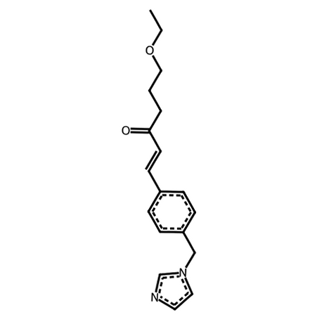 CCOCCCC(=O)C=Cc1ccc(Cn2ccnc2)cc1